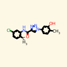 Cc1ccc(-n2cc(C(=O)Nc3cc(Cl)ccc3C)nn2)cc1O